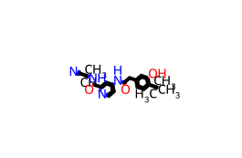 CC(C)(C#N)NC(=O)c1cc(NC(=O)Cc2ccc(C(C)(C)C)c(O)c2)ccn1